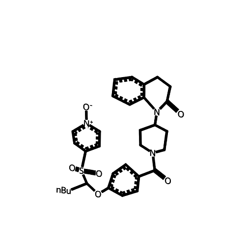 CCCCC(Oc1ccc(C(=O)N2CCC(N3C(=O)CCc4ccccc43)CC2)cc1)S(=O)(=O)c1cc[n+]([O-])cc1